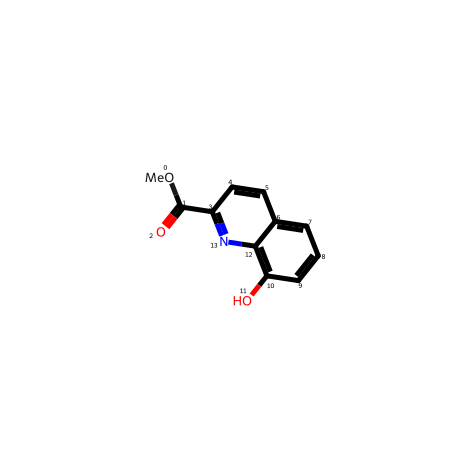 COC(=O)c1ccc2cccc(O)c2n1